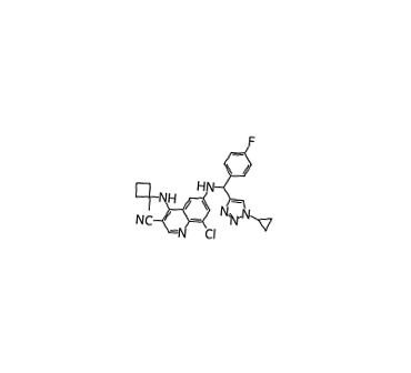 CC1(Nc2c(C#N)cnc3c(Cl)cc(NC(c4ccc(F)cc4)c4cn(C5CC5)nn4)cc23)CCC1